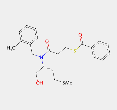 CSCC[C@H](CO)N(Cc1ccccc1C)C(=O)CCSC(=O)c1ccccc1